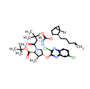 C=CCCC[C@H]1[C@H](OC(=O)N[C@H](C(=O)N2C[C@H](Oc3nc4cc(Cl)ccc4nc3Cl)[C@@H](C)[C@H]2C(=O)OC(C)(C)C)C(C)(C)C)CC2C[C@@H]21